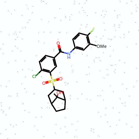 COc1cc(NC(=O)c2ccc(Cl)c(S(=O)(=O)C3CC4CCC(C3)C4(C)O)c2)ccc1F